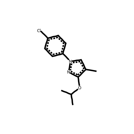 Cc1cn(-c2ccc(Cl)cc2)nc1OC(C)C